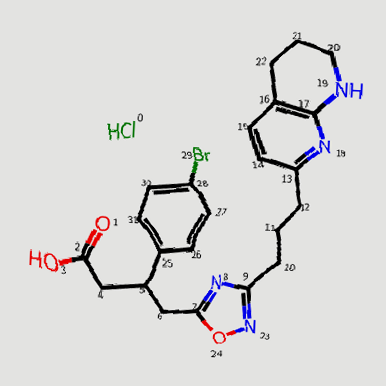 Cl.O=C(O)CC(Cc1nc(CCCc2ccc3c(n2)NCCC3)no1)c1ccc(Br)cc1